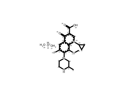 COc1c(N2CCNC(C)C2)c(F)cc2c(=O)c(C(=O)O)cn(C3CC3)c12.O.O.O